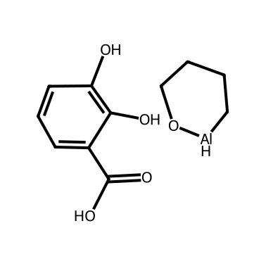 C1C[CH2][AlH][O]C1.O=C(O)c1cccc(O)c1O